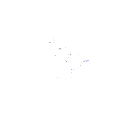 Cc1ccc([C@H](Nc2c(Nc3cccc(C(=O)N(C)C)c3O)no[n+]2[O-])C(C)C)o1